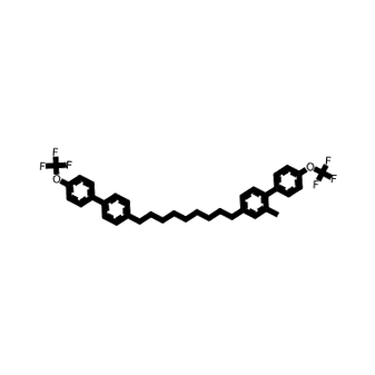 Cc1cc(CCCCCCCCCc2ccc(-c3ccc(OC(F)(F)F)cc3)cc2)ccc1-c1ccc(OC(F)(F)F)cc1